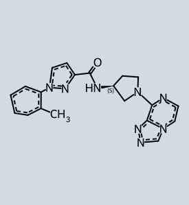 Cc1ccccc1-n1ccc(C(=O)N[C@H]2CCN(c3nccn4cnnc34)C2)n1